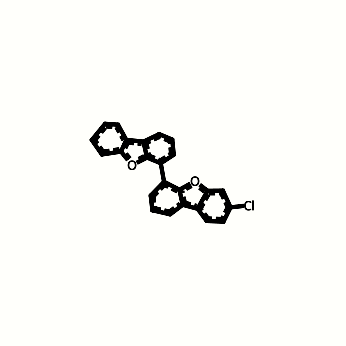 Clc1ccc2c(c1)oc1c(-c3cccc4c3oc3ccccc34)cccc12